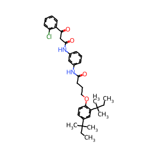 CCC(C)(C)c1ccc(OCCCC(=O)Nc2cccc(NC(=O)CC(=O)c3ccccc3Cl)c2)c(C(C)(C)CC)c1